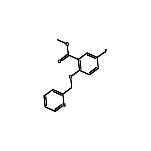 COC(=O)c1cc(F)ccc1OCc1ccccn1